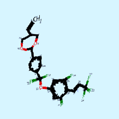 C=CC1COC(c2ccc(C(F)(F)Oc3cc(F)c(/C=C/C(F)(F)F)c(F)c3)cc2)OC1